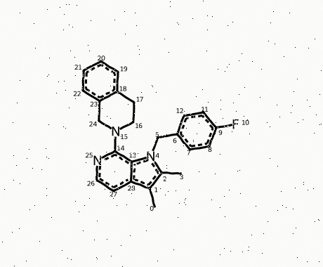 Cc1c(C)n(Cc2ccc(F)cc2)c2c(N3CCc4ccccc4C3)nccc12